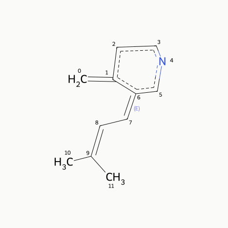 C=c1ccnc/c1=C/C=C(C)C